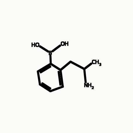 CC(N)Cc1ccccc1B(O)O